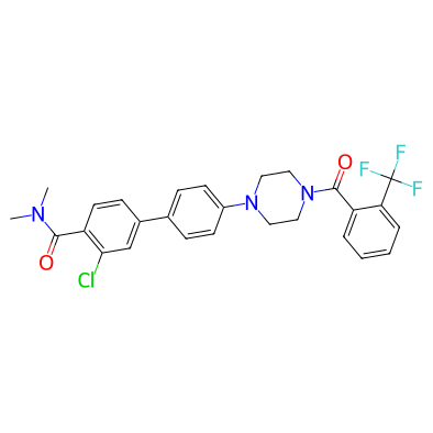 CN(C)C(=O)c1ccc(-c2ccc(N3CCN(C(=O)c4ccccc4C(F)(F)F)CC3)cc2)cc1Cl